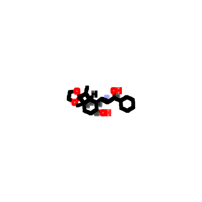 CC1[C@@H]2[C@@H](/C=C/[C@@H](O)C3CCCCC3)[C@H](O)CC[C@]2(C)C12OCCO2